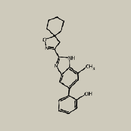 Cc1cc(-c2ccccc2O)cc2nc(C3=NOC4(CCCCC4)C3)[nH]c12